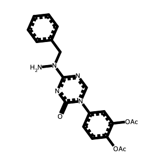 CC(=O)Oc1ccc(-n2cnc(N(N)Cc3ccccc3)nc2=O)cc1OC(C)=O